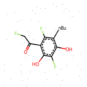 CCCCc1c(O)c(F)c(O)c(C(=O)CF)c1F